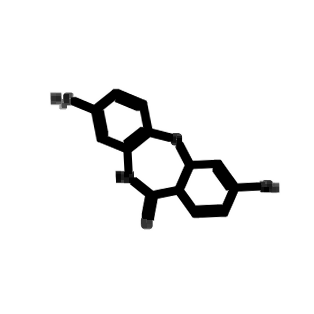 Cc1ccc2c(c1)NC(=O)C1C=CC(C(C)(C)C)=CC1O2